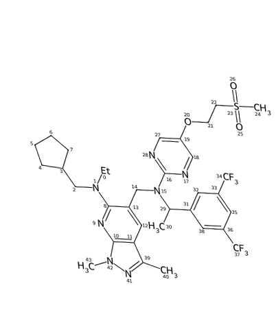 CCN(CC1CCCC1)c1nc2c(cc1CN(c1ncc(OCCS(C)(=O)=O)cn1)C(C)c1cc(C(F)(F)F)cc(C(F)(F)F)c1)c(C)nn2C